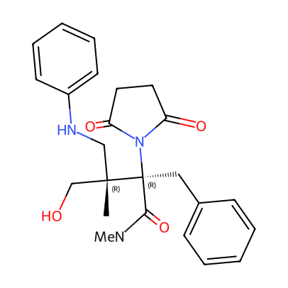 CNC(=O)[C@](Cc1ccccc1)(N1C(=O)CCC1=O)[C@](C)(CO)CNc1ccccc1